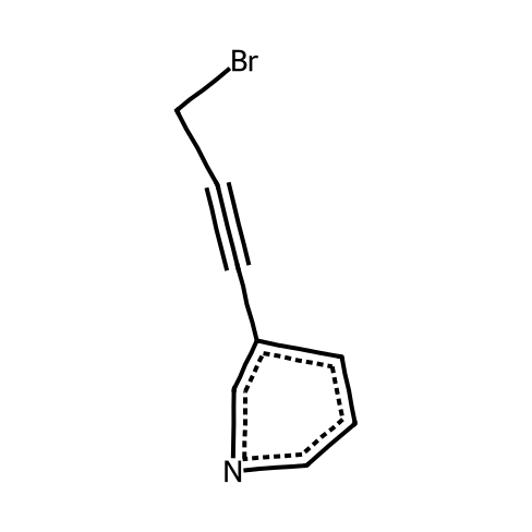 BrCC#Cc1cccnc1